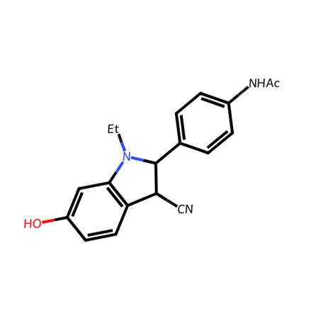 CCN1c2cc(O)ccc2C(C#N)C1c1ccc(NC(C)=O)cc1